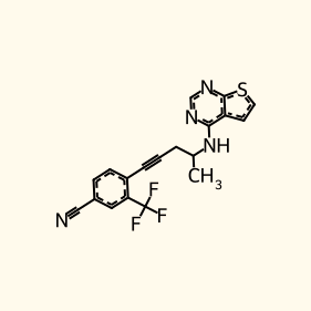 CC(CC#Cc1ccc(C#N)cc1C(F)(F)F)Nc1ncnc2sccc12